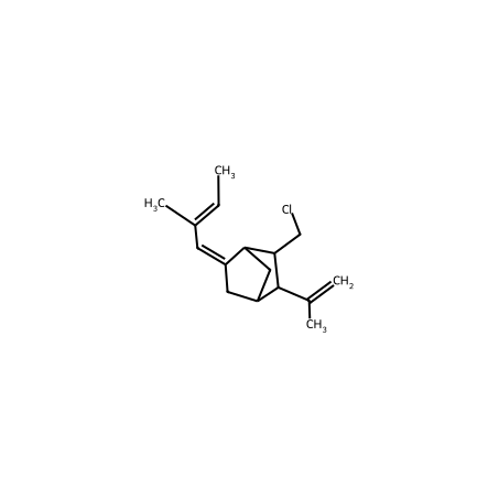 C=C(C)C1C2CC(=CC(C)=CC)C(C2)C1CCl